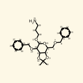 CC1(C)OC2C(COCc3ccccc3)OC(OCCCN)C(OCc3ccccc3)C2O1